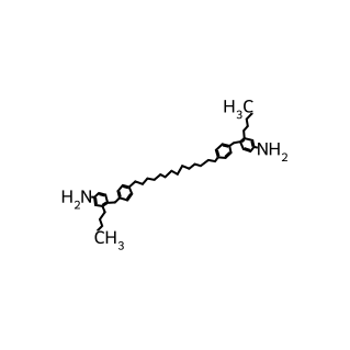 CCCCCc1cc(N)ccc1Cc1ccc(CCCCCCCCCCCCCCc2ccc(Cc3ccc(N)cc3CCCCC)cc2)cc1